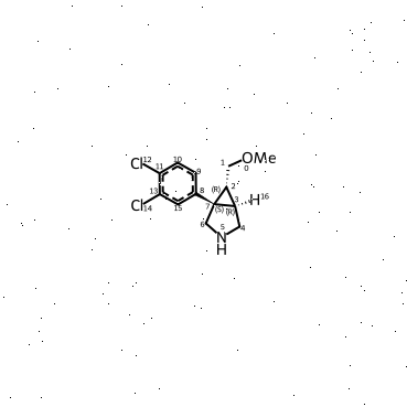 COC[C@@H]1[C@H]2CNC[C@@]21c1ccc(Cl)c(Cl)c1